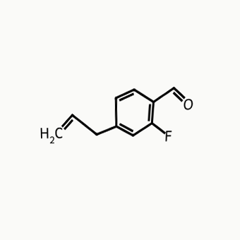 C=CCc1ccc(C=O)c(F)c1